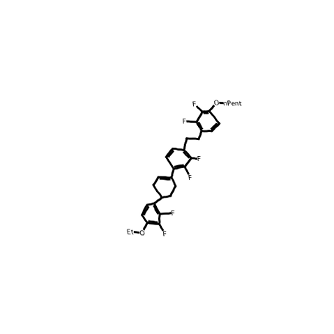 CCCCCOc1ccc(CCc2ccc(C3=CCC(c4ccc(OCC)c(F)c4F)CC3)c(F)c2F)c(F)c1F